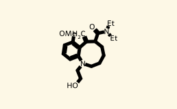 C=C1c2c(OC)cccc2N(CCO)CCCCC1C(=O)N(CC)CC